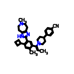 C/C=C(/c1cc(-c2nc3c([nH]2)CCN(C)CC3)c(C2CCC2)cc1C)N1CCC(c2ccc(C#N)cc2)CC1